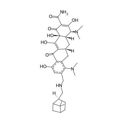 CN(C)c1c(CNC[C@H]2CCC3CC2C3(C)C)cc(O)c2c1C[C@H]1C[C@H]3[C@H](N(C)C)C(O)=C(C(N)=O)C(=O)[C@@]3(O)C(O)=C1C2=O